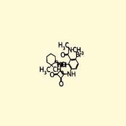 CN(C)C(=O)c1c(Br)ccc(Nc2c(N[C@H]3CCCCC3(C)C)c(=O)c2=O)c1O